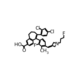 Cc1c(C=C2CN(CCCF)C2)ccc(C2=C(c3ccc(Cl)cc3Cl)CCCc3cc(C(=O)O)ccc32)c1F